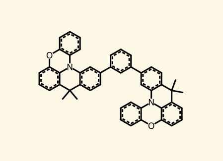 CC1(C)c2ccc(-c3cccc(-c4ccc5c(c4)N4c6ccccc6Oc6cccc(c64)C5(C)C)c3)cc2N2c3ccccc3Oc3cccc1c32